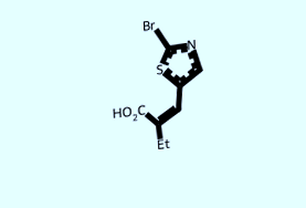 CCC(=Cc1cnc(Br)s1)C(=O)O